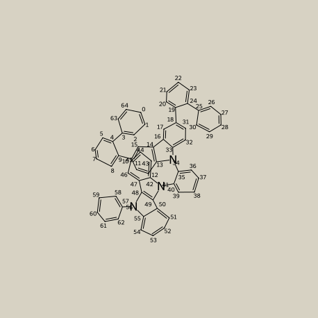 c1ccc(-c2ccccc2-c2ccc3c(c2)c2cc(-c4ccccc4-c4ccccc4)ccc2n3-c2ccccc2-n2c3ccccc3c3c2c2ccccc2n3-c2ccccc2)cc1